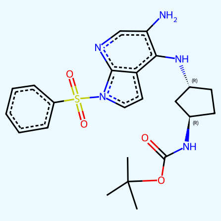 CC(C)(C)OC(=O)N[C@@H]1CC[C@@H](Nc2c(N)cnc3c2ccn3S(=O)(=O)c2ccccc2)C1